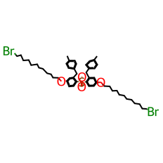 Cc1ccc(Cc2cc(OCCCCCCCCCCCCBr)ccc2S(=O)(=O)c2ccc(OCCCCCCCCCCCCBr)cc2Cc2ccc(C)cc2)cc1